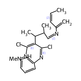 C=C(/C=C\C)/N=C\C(C)C(C)C(/C(Cl)=N\c1ccccc1)=C(\Cl)NNC